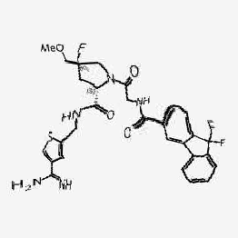 COC[C@@]1(F)C[C@@H](C(=O)NCc2cc(C(=N)N)cs2)N(C(=O)CNC(=O)c2ccc3c(c2)-c2ccccc2C3(F)F)C1